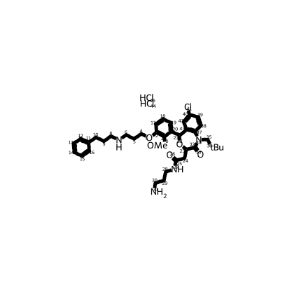 COc1c(OCCCNCCCc2ccccc2)cccc1C1OC(CC(=O)NCCCN)C(=O)N(CC(C)(C)C)c2ccc(Cl)cc21.Cl.Cl